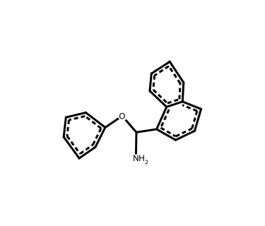 NC(Oc1ccccc1)c1cccc2ccccc12